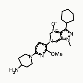 COc1nc(N2CCC(N)CC2)ccc1N1C=c2c(c(C3CCCCC3)nn2C)=[N+]([O-])C1